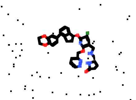 O=C1CC[C@@H](CNCc2cc(Cl)c(O[C@H]3CCc4c(-c5ccc6c(c5)OCCO6)cccc43)nc2OCc2cccnn2)N1